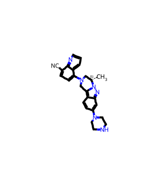 C[C@H]1CN(c2ccc(C#N)c3ncccc23)Cc2c3ccc(N4CCNCC4)cc3nn21